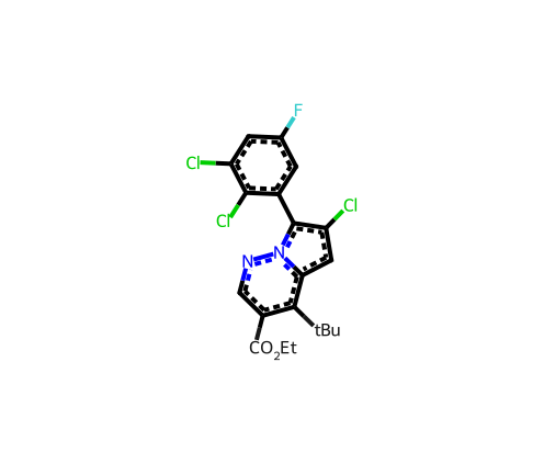 CCOC(=O)c1cnn2c(-c3cc(F)cc(Cl)c3Cl)c(Cl)cc2c1C(C)(C)C